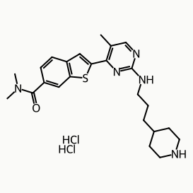 Cc1cnc(NCCCC2CCNCC2)nc1-c1cc2ccc(C(=O)N(C)C)cc2s1.Cl.Cl